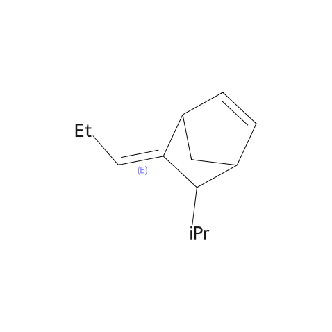 CC/C=C1\C2C=CC(C2)C1C(C)C